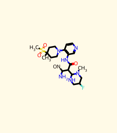 CN1CC(F)CNC1C(C(=O)Nc1cnccc1N1CCC(C)(S(C)(=O)=O)CC1)C(N)N=O